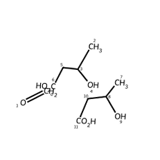 C=O.CC(O)CC(=O)O.CC(O)CC(=O)O